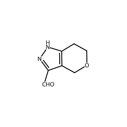 O=Cc1n[nH]c2c1COCC2